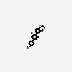 Fc1cc(-c2c(F)cc(C3CCC(Br)CC3)cc2F)ccc1OC(F)F